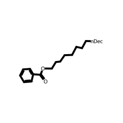 CCCCCCCCCCCCCCCCCCOC(=O)c1[c]cccc1